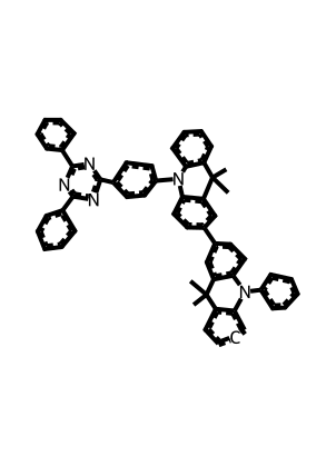 CC1(C)c2ccccc2N(c2ccccc2)c2ccc(-c3ccc4c(c3)C(C)(C)c3ccccc3N4c3ccc(-c4nc(-c5ccccc5)nc(-c5ccccc5)n4)cc3)cc21